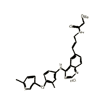 COCC(=O)NC/C=C/c1ccc2ncnc(Nc3ccc(Oc4ccc(C)nc4)c(C)c3)c2c1.Cl